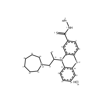 CCCNC(=S)c1ccc2c(c1)N(C(C)CN1CCCCCC1)c1ccccc1S2.Cl